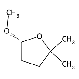 CO[C@H]1CCC(C)(C)O1